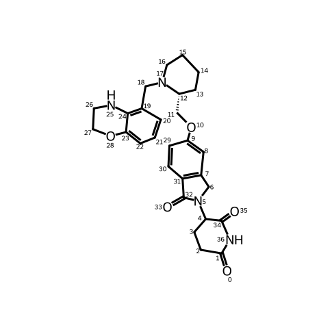 O=C1CCC(N2Cc3cc(OC[C@H]4CCCCN4Cc4cccc5c4NCCO5)ccc3C2=O)C(=O)N1